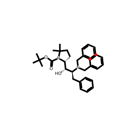 CC(C)(C)OC(=O)N1[C@@H]([C@@H](O)[C@H](Cc2ccccc2)N(Cc2ccccc2)Cc2ccccc2)CCC1(C)C